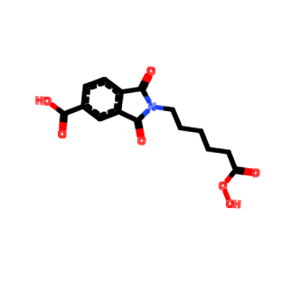 O=C(CCCCCN1C(=O)c2ccc(C(=O)O)cc2C1=O)OO